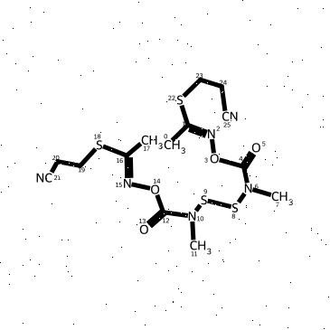 CC(=NOC(=O)N(C)SSN(C)C(=O)ON=C(C)SCCC#N)SCCC#N